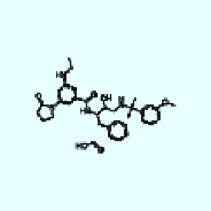 CCNc1cc(C(=O)NC(Cc2ccccc2)C(O)CNC(C)(C)c2cccc(OC)c2)cc(N2CCCC2=O)c1.O=CO